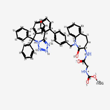 CC(C)(C)OC(=O)NCC(=O)NC1CCc2ccccc2N(Cc2ccc(-c3ccccc3-c3nnnn3C(c3ccccc3)(c3ccccc3)c3ccccc3)cc2)C1=O